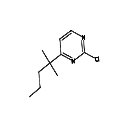 CCCC(C)(C)c1ccnc(Cl)n1